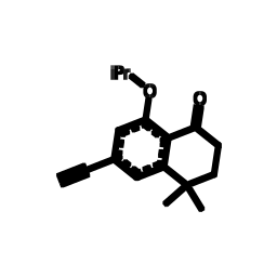 C#Cc1cc(OC(C)C)c2c(c1)C(C)(C)CCC2=O